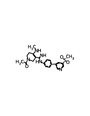 CNC1=C(C(=N)Nc2ccc(-c3cncc(S(C)(=O)=O)c3)cc2)CN(C(C)=O)CC1